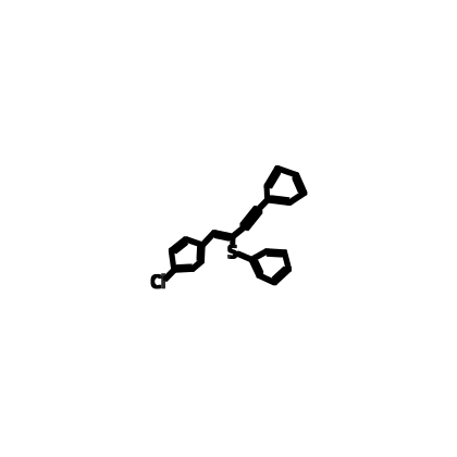 Clc1ccc(/C=C(/C#Cc2ccccc2)Sc2ccccc2)cc1